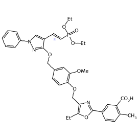 CCOP(=O)(/C=C/c1cn(-c2ccccc2)nc1OCc1ccc(OCc2nc(-c3ccc(C)c(C(=O)O)c3)oc2CC)c(OC)c1)OCC